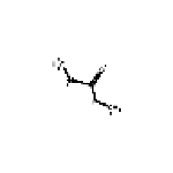 CCC(=O)[N]C